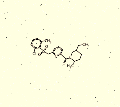 CCC1CCC(C)N(C(=O)c2cccc(CS(=O)(=O)c3c(C)cccc3Cl)n2)C1